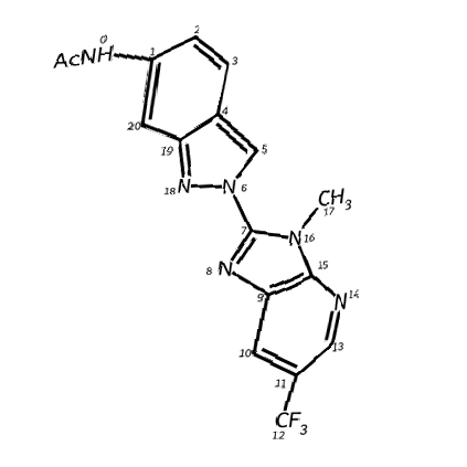 CC(=O)Nc1ccc2cn(-c3nc4cc(C(F)(F)F)cnc4n3C)nc2c1